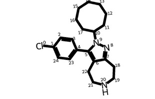 Clc1ccc(-c2c3c(nn2C2CCCCCCC2)CCNCC3)cc1